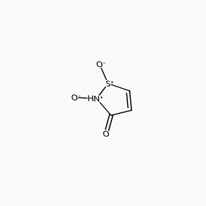 O=C1C=C[S+]([O-])[NH+]1[O-]